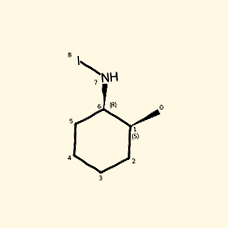 C[C@H]1CCCC[C@H]1NI